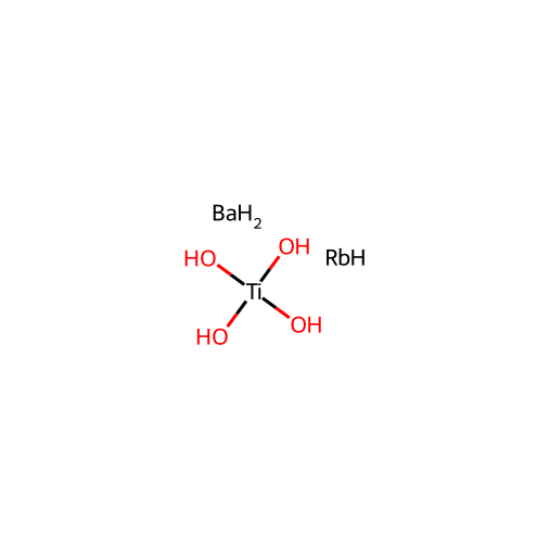 [BaH2].[OH][Ti]([OH])([OH])[OH].[RbH]